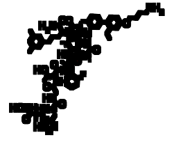 CCc1cc(OCCCCN)ccc1-c1ccc(C[C@H](NC(=O)[C@H](CC(=O)O)NC(=O)[C@H](C)NC(=O)[C@@H](NC(=O)[C@](C)(Cc2ccccc2F)NC(=O)[C@@H](NC(=O)CNC(=O)[C@H](Cc2nn[nH]n2)NC(=O)C(C)(C)C(=O)NO)[C@@H](C)O)[C@@H](C)O)C(=O)N[C@@H](CCCc2cc(C)cc(C)c2)C(N)=O)cc1